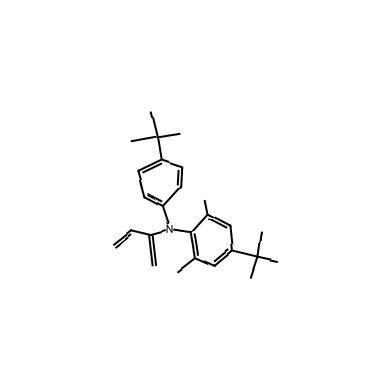 C=CC(=C)N(c1ccc(C(C)(C)C)cc1)c1c(C)cc(C(C)(C)C)cc1C